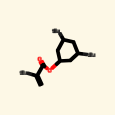 C=C(C(=O)OC1CC(C(C)(C)C)CC(C(C)(C)C)C1)C(C)(C)C